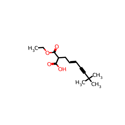 CCOC(=O)C(CC=CC#CC(C)(C)C)C(=O)O